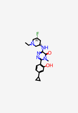 CCN1C[C@H](F)C[C@@H](Nc2nnc(-c3ccc(C4CC4)cc3O)n(C)c2=O)C1